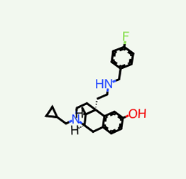 C[C@H]1[C@H]2Cc3ccc(O)cc3[C@]1(CCNCc1ccc(F)cc1)CCN2CC1CC1